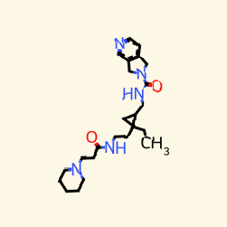 CCC1(CCNC(=O)CCN2CCCCC2)CC1CNC(=O)N1Cc2ccncc2C1